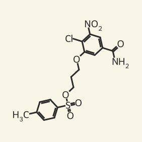 Cc1ccc(S(=O)(=O)OCCCOc2cc(C(N)=O)cc([N+](=O)[O-])c2Cl)cc1